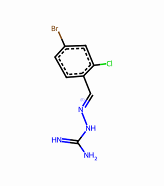 N=C(N)N/N=C/c1ccc(Br)cc1Cl